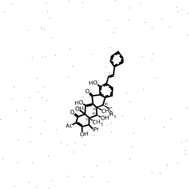 CC(=O)C1=C(O)C(C(C)C)[C@@]2(C)[C@H](O)[C@]3(C)C(=C(O)C2(O)C1=O)C(=O)c1c(ccc(/C=C/c2ccccc2)c1O)[C@H]3C